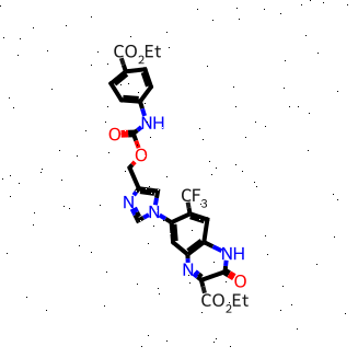 CCOC(=O)c1ccc(NC(=O)OCc2cn(-c3cc4nc(C(=O)OCC)c(=O)[nH]c4cc3C(F)(F)F)cn2)cc1